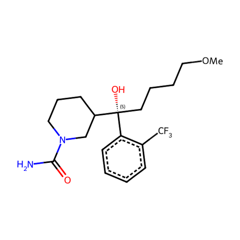 COCCCC[C@@](O)(c1ccccc1C(F)(F)F)C1CCCN(C(N)=O)C1